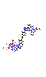 COC(=O)N[C@H](C(=O)N1CCC[C@H]1c1nc2ccc3cc(C#Cc4ccc(-c5cnc([C@@H]6CCCN6C(=O)[C@@H](NC(=O)OC)C6CCOCC6)[nH]5)cc4)ccc3c2[nH]1)C(C)C